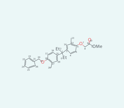 CCC(CC)(c1ccc(OCC(=O)OC)c(C)c1)c1ccc(OCc2ccccc2)c(C)c1